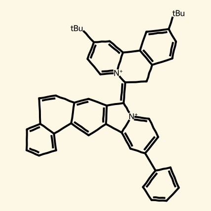 CC(C)(C)c1ccc2c(c1)-c1cc(C(C)(C)C)cc[n+]1/C(=C1\c3cc4ccc5ccccc5c4cc3-c3cc(-c4ccccc4)cc[n+]31)C2